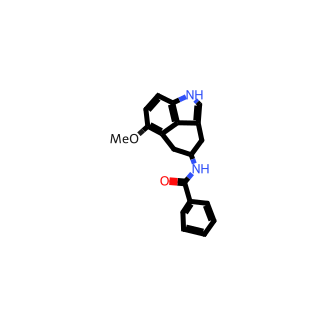 COc1ccc2[nH]cc3c2c1CC(NC(=O)c1ccccc1)C3